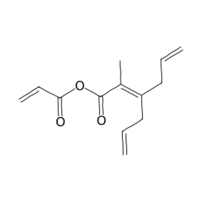 C=CCC(CC=C)=C(C)C(=O)OC(=O)C=C